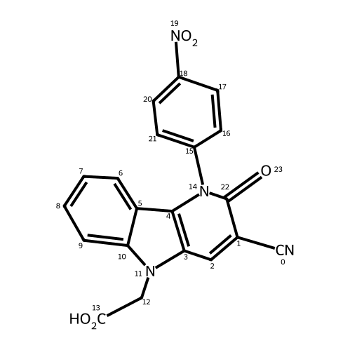 N#Cc1cc2c(c3ccccc3n2CC(=O)O)n(-c2ccc([N+](=O)[O-])cc2)c1=O